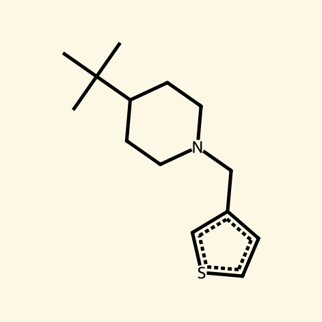 CC(C)(C)C1CCN(Cc2ccsc2)CC1